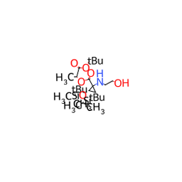 CC(C)(C)[Si](C)(C)O[Si](C)(C)C(C)(C)C.CC(OC(=O)C1(NCCO)CC1)C(=O)OC(C)(C)C